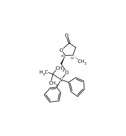 C[C@H]1CC(=O)O[C@@H]1CO[Si](c1ccccc1)(c1ccccc1)C(C)(C)C